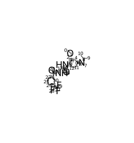 COC[C@@H]1C[C@H](N(C)C(C)C)CC[C@@H]1NC(=O)CNC(=O)c1cccc(C(F)(F)F)c1